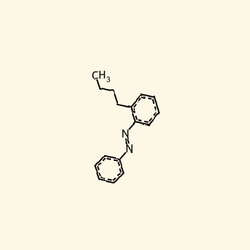 CCCCc1ccccc1N=Nc1ccccc1